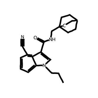 CCCn1cc(C(=O)NCC23CCC(CC2)CC3)c2c(C#N)cccc21